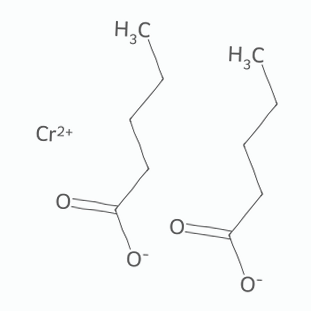 CCCCC(=O)[O-].CCCCC(=O)[O-].[Cr+2]